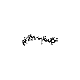 CCC(C)(C)C(=O)Oc1nc(CCCCCNC(=O)COCc2ccc(F)cc2)cs1